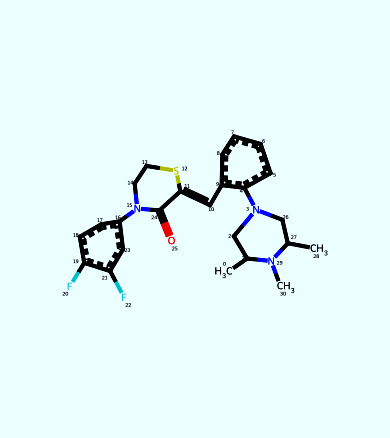 CC1CN(c2ccccc2C=C2SCCN(c3ccc(F)c(F)c3)C2=O)CC(C)N1C